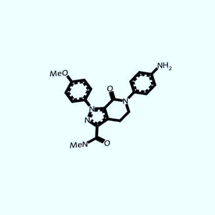 CNC(=O)c1nn(-c2ccc(OC)cc2)c2c1CCN(c1ccc(N)cc1)C2=O